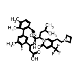 Cc1ccc(C#N)c(-c2cc(C)c(F)c(C(CC(=O)O)NC(=O)C(CC(C)C)n3cc(CCN4CCC4)c(C(F)(F)F)cc3=O)c2)c1C